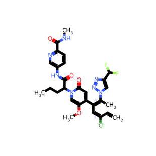 C=C/C(Cl)=C\C(=C(/C)n1cc(C(F)F)nn1)c1cc(=O)n(C(CCC)C(=O)Nc2ccc(C(=O)NC)nc2)cc1OC